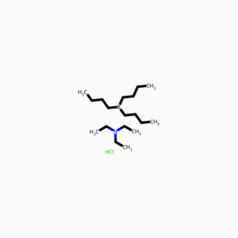 CCCCB(CCCC)CCCC.CCN(CC)CC.Cl